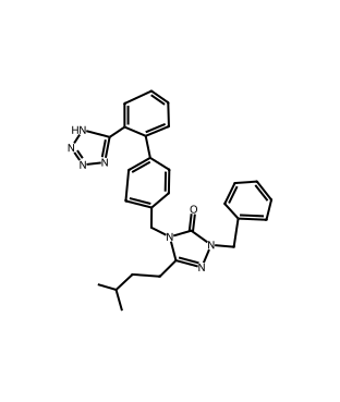 CC(C)CCc1nn(Cc2ccccc2)c(=O)n1Cc1ccc(-c2ccccc2-c2nnn[nH]2)cc1